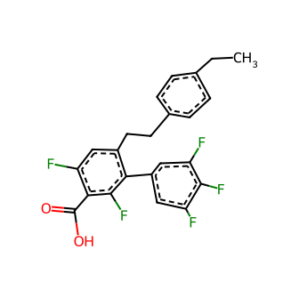 CCc1ccc(CCc2cc(F)c(C(=O)O)c(F)c2-c2cc(F)c(F)c(F)c2)cc1